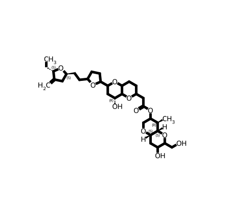 C=C1C[C@H](CCC2CCC(C3C[C@@H](O)C4OC(CC(=O)OC5CO[C@H]6CC(O)C(CO)O[C@H]6[C@@H]5C)CCC4O3)O2)O[C@H]1CC